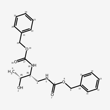 C[C@@H](O)[C@@H](CNC(=O)OCc1ccccc1)NC(=O)OCc1ccccc1